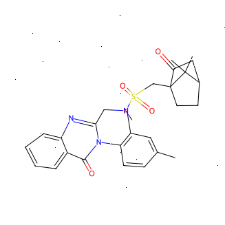 Cc1ccc(-n2c(CN(C)S(=O)(=O)CC34CCC(CC3=O)C4(C)C)nc3ccccc3c2=O)c(C)c1